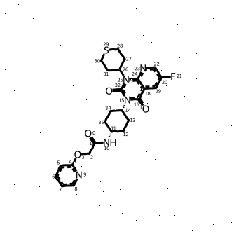 O=C(COc1ccccn1)N[C@H]1CC[C@@H](n2c(=O)c3cc(F)cnc3n(C3CCSCC3)c2=O)CC1